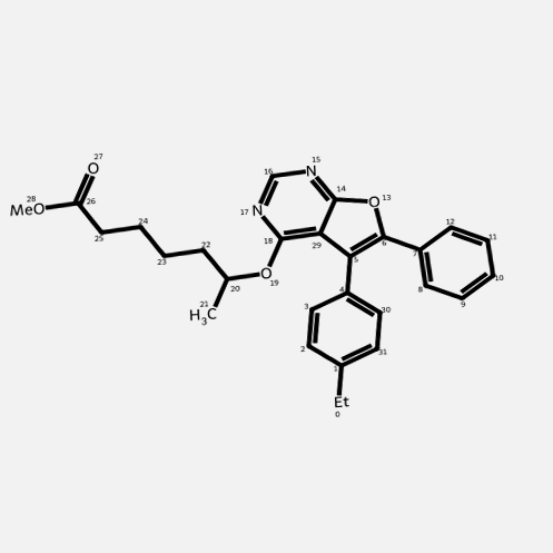 CCc1ccc(-c2c(-c3ccccc3)oc3ncnc(OC(C)CCCCC(=O)OC)c23)cc1